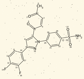 CC(=O)/C=C\C(=O)c1cc(-c2ccc(F)c(F)c2)nn1-c1ccc(S(N)(=O)=O)cc1